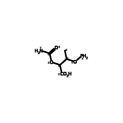 CC(OP)C(OC(N)=O)C(=O)O